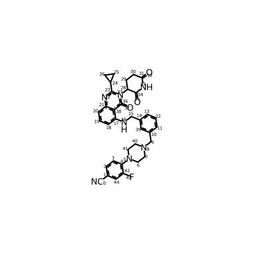 N#Cc1ccc(N2CCN(Cc3cccc(CNc4cccc5nc(C6CC6)n(C6CCC(=O)NC6=O)c(=O)c45)c3)CC2)c(F)c1